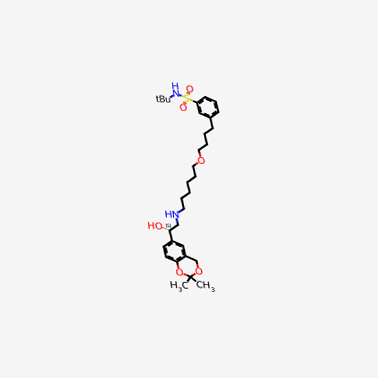 CC(C)(C)NS(=O)(=O)c1cccc(CCCCOCCCCCCNC[C@@H](O)c2ccc3c(c2)COC(C)(C)O3)c1